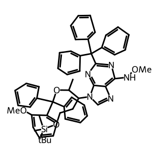 CONc1nc(C(c2ccccc2)(c2ccccc2)c2ccccc2)nc2c1ncn2C(CCO[Si](C)(C)C(C)(C)C)C(C)OC(c1ccccc1)(c1ccccc1)c1ccccc1OC